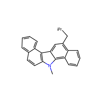 CC(C)Cc1cc2c3c4ccccc4ccc3n(C)c2c2ccccc12